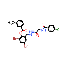 Cc1cccc(C(=O)Oc2c(Br)cc(Br)cc2/C=N/NC(=O)CNC(=O)c2ccc(Cl)cc2)c1